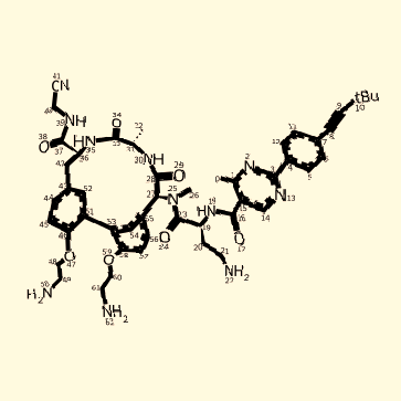 Cc1nc(-c2ccc(C#CC(C)(C)C)cc2)ncc1C(=O)N[C@@H](CCN)C(=O)N(C)[C@@H]1C(=O)N[C@@H](C)C(=O)N[C@H](C(=O)NCC#N)Cc2ccc(OCCN)c(c2)-c2cc1ccc2OCCN